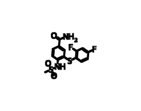 CS(=O)(=O)Nc1ccc(C(N)=O)cc1Sc1ccc(F)cc1F